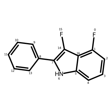 Fc1cccc2[nH]c(-c3ccccc3)c(F)c12